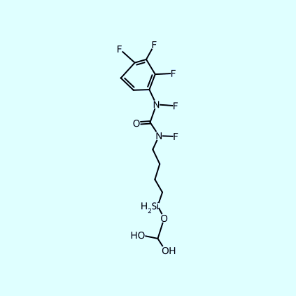 O=C(N(F)CCCC[SiH2]OC(O)O)N(F)c1ccc(F)c(F)c1F